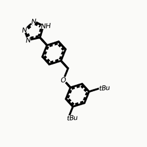 CC(C)(C)c1cc(OCc2ccc(-c3nnn[nH]3)cc2)cc(C(C)(C)C)c1